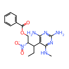 CCC(c1c(N)nc(N)nc1NC)C(COC(=O)c1ccccc1)[N+](=O)[O-]